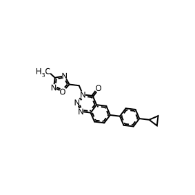 Cc1noc(Cn2nnc3ccc(-c4ccc(C5CC5)cc4)cc3c2=O)n1